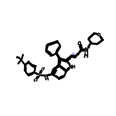 CC(C)(C)c1ccc(S(=O)(=O)Nc2ccc3[nH]c(/C=C/C(=O)NC4CCOCC4)c(-c4ccccc4)c3c2)cc1